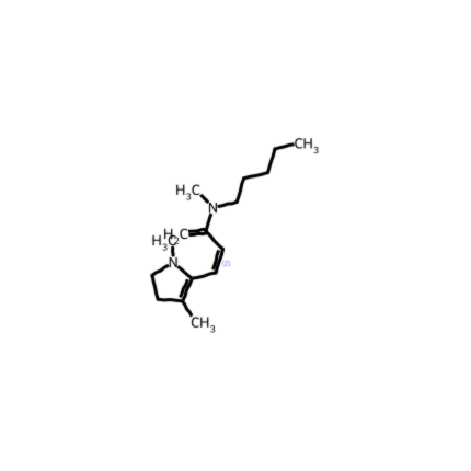 C=C(/C=C\C1=C(C)CCN1C)N(C)CCCCC